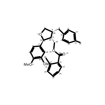 COc1ccc([C@H]2OC[C@H](Cc3ccc(C)cc3)[C@@H]2COC(=O)c2ccccc2C)cc1OC